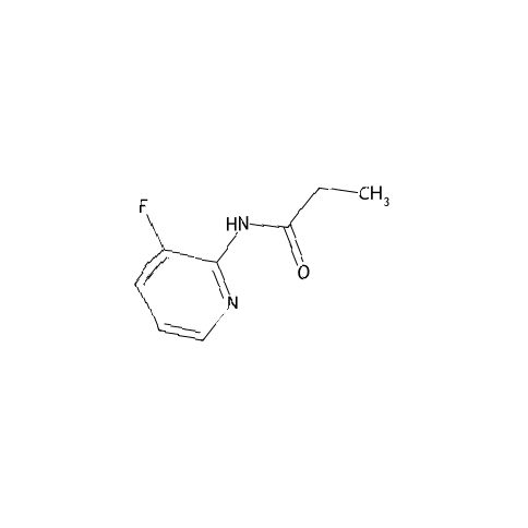 CCC(=O)Nc1ncccc1F